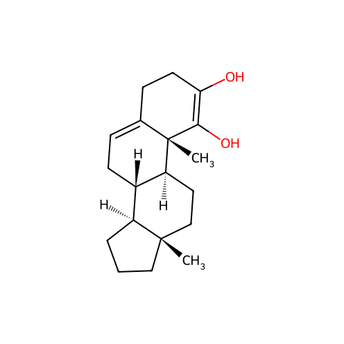 C[C@@]12CCC[C@H]1[C@@H]1CC=C3CCC(O)=C(O)[C@]3(C)[C@H]1CC2